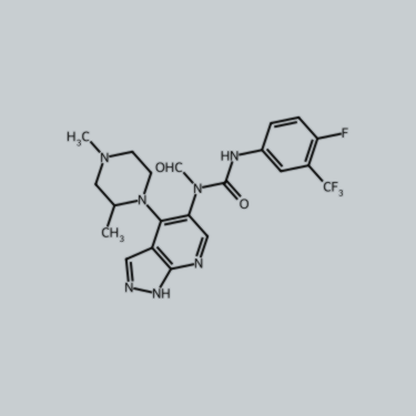 CC1CN(C)CCN1c1c(N(C=O)C(=O)Nc2ccc(F)c(C(F)(F)F)c2)cnc2[nH]ncc12